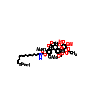 CCCCC/C=C\C/C=C\CCCCCCCCNC(=O)Oc1c(OC)cc([C@@H]2c3cc4c(cc3[C@@H](O[C@@H]3O[C@@H]5CO[C@@H](C)OC5[C@H](O)[C@H]3O)[C@H]3COC(=O)[C@H]23)OCO4)cc1OC